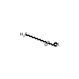 CCCCCCCCCCCCCCCC(=O)OCCCc1ccncc1